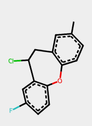 Cc1ccc2c(c1)CC(Cl)c1cc(F)ccc1O2